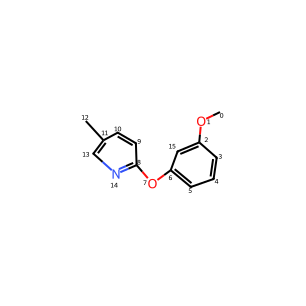 COc1cccc(Oc2ccc(C)cn2)c1